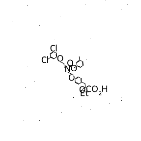 CCOC(Cc1ccc(OCCN(CCCOc2cc(Cl)cc(Cl)c2)C(=O)Oc2cccc(C)c2)cc1)C(=O)O